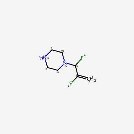 C=C(F)C(F)N1CCNCC1